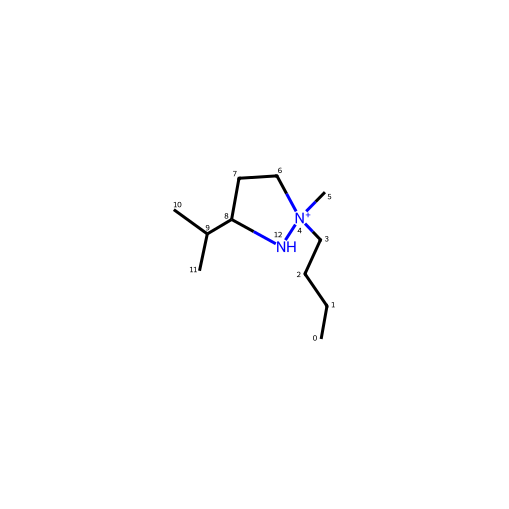 CCCC[N+]1(C)CCC(C(C)C)N1